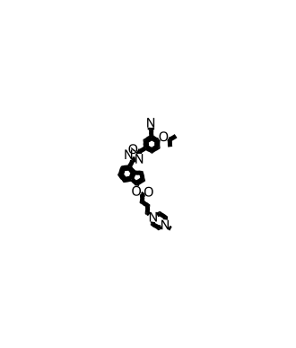 CC(C)Oc1ccc(-c2nc(-c3cccc4c3CC=C4OC(=O)CCCN3CCN(C)CC3)no2)cc1C#N